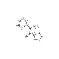 NN(C(=O)N1CCCC1)c1cc[c]cc1